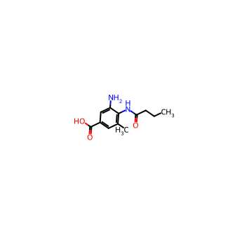 CCCC(=O)Nc1c(C)cc(C(=O)O)cc1N